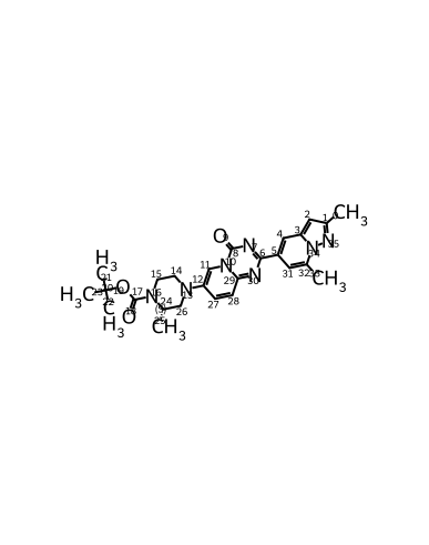 Cc1cc2cc(-c3nc(=O)n4cc(N5CCN(C(=O)OC(C)(C)C)[C@@H](C)C5)ccc4n3)cc(C)n2n1